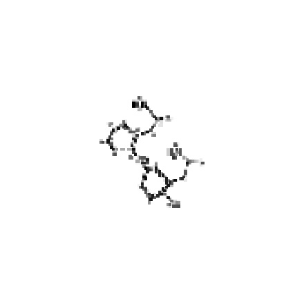 CCc1ccccc1CC(C)N.CCc1ccccc1CC(C)N